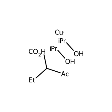 CC(C)O.CC(C)O.CCC(C(C)=O)C(=O)O.[Cu]